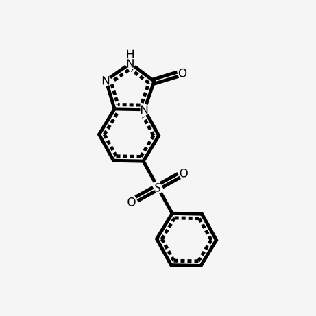 O=c1[nH]nc2ccc(S(=O)(=O)c3ccccc3)cn12